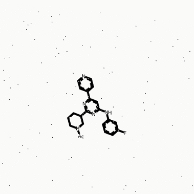 CC(=O)N1CCCC(c2nc(Nc3cccc(F)c3)cc(-c3ccncc3)n2)C1